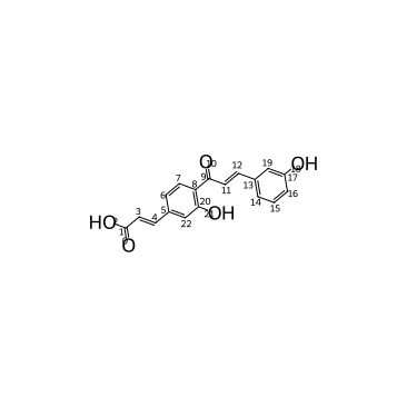 O=C(O)C=Cc1ccc(C(=O)C=Cc2cccc(O)c2)c(O)c1